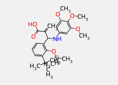 C=C(C(=O)O)C(Nc1cc(OC)c(OC)c(OC)c1)c1cccc(C(C)(C)C)c1O[SiH](C)C